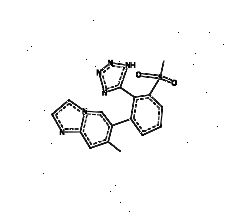 Cc1cc2nccn2cc1-c1cccc(S(C)(=O)=O)c1-c1nnn[nH]1